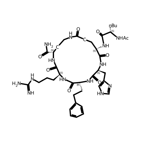 CCCC[C@H](NC(C)=O)C(=O)N[C@H]1CCC(=O)NCC[C@@H](C(N)=O)NC(=O)[C@H](CCCNC(=N)N)NC(=O)[C@@H](CCc2ccccc2)NC(=O)[C@H](Cc2c[nH]cn2)NC1=O